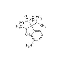 CC(C)C(c1cccc(N)c1)(C(C)C)P(=O)(O)O